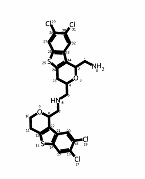 NCC1OC(CNCC2OCCc3sc4cc(Cl)c(Cl)cc4c32)Cc2sc3cc(Cl)c(Cl)cc3c21